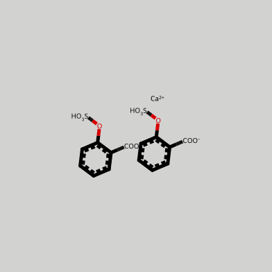 O=C([O-])c1ccccc1OS(=O)(=O)O.O=C([O-])c1ccccc1OS(=O)(=O)O.[Ca+2]